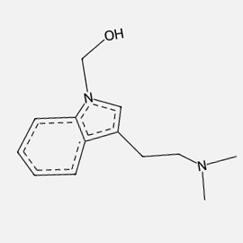 CN(C)CCc1cn(CO)c2ccccc12